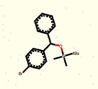 CC(C)(C)[Si](C)(C)OC(c1ccccc1)c1ccc(Br)cc1